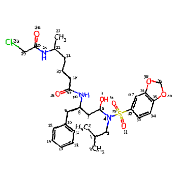 CC(C)CN(C(O)CC(Cc1ccccc1)NC(=O)CCCC(C)NC(=O)CCl)S(=O)(=O)c1ccc2c(c1)OCO2